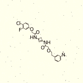 CN(C)c1cccc(CCOCC(=O)NC23CC(NC(=O)COc4ccc(Cl)c(F)c4)(C2)C3)c1